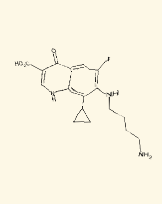 NCCCCNc1c(F)cc2c(=O)c(C(=O)O)c[nH]c2c1C1CC1